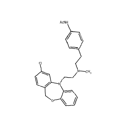 CC(=O)Nc1ccc(CCN(C)CCN2c3cc(Cl)ccc3COc3ccccc32)cc1